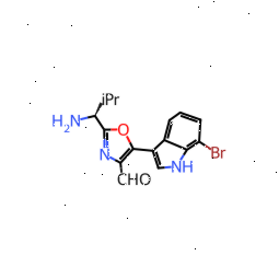 CC(C)[C@H](N)c1nc(C=O)c(-c2c[nH]c3c(Br)cccc23)o1